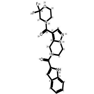 O=C(c1cc2ccccc2[nH]1)N1CCn2ncc(C(=O)N3CCOC(F)(F)C3)c2C1